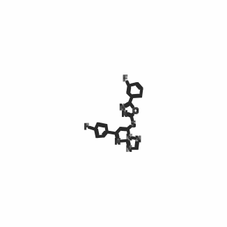 Fc1ccc(-c2cc(Sc3nnc(-c4cccc(F)c4)o3)n3ncnc3n2)cc1